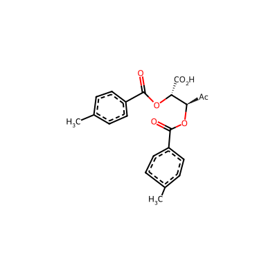 CC(=O)[C@@H](OC(=O)c1ccc(C)cc1)[C@H](OC(=O)c1ccc(C)cc1)C(=O)O